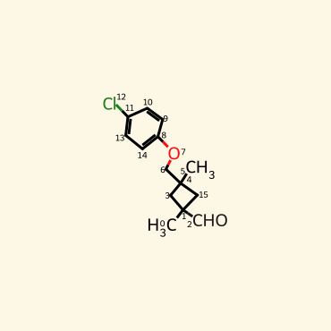 CC1(C=O)CC(C)(COc2ccc(Cl)cc2)C1